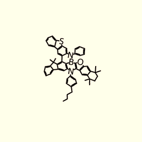 CCCCc1ccc(N2c3cc4c(c5c3B(c3oc6cc7c(cc6c32)C(C)(C)CCC7(C)C)N(c2ccccc2)c2cc3sc6ccccc6c3cc2-5)C(C)(C)c2ccccc2-4)cc1